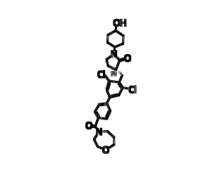 O=C(c1ccc(-c2cc(Cl)c(C[C@@H]3CCN(C4CCC(O)CC4)C3=O)c(Cl)c2)cc1)N1CCCOCC1